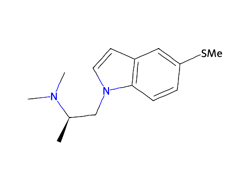 CSc1ccc2c(ccn2C[C@@H](C)N(C)C)c1